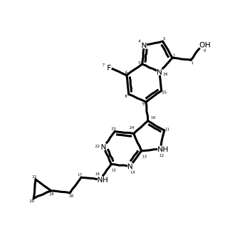 OCc1cnc2c(F)cc(-c3c[nH]c4nc(NCCC5CC5)ncc34)cn12